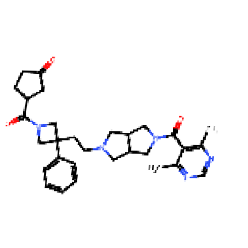 Cc1ncnc(C)c1C(=O)N1CC2CN(CCC3(c4ccccc4)CN(C(=O)C4CCC(=O)C4)C3)CC2C1